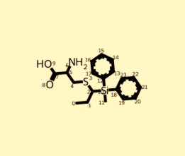 CCC(SCC(N)C(=O)O)[Si](C)(c1ccccc1)c1ccccc1